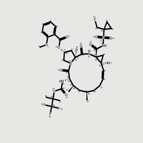 COc1ccccc1C(=O)O[C@@H]1C[C@H]2C(=O)N[C@]3(C(=O)NS(=O)(=O)C4(CF)CC4)C[C@H]3C=CCC[C@@H](C)C[C@@H](C)[C@H](NC(=O)OC(C)(C)C(F)(F)F)C(=O)N2C1